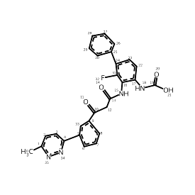 Cc1ccc(-c2cccc(C(=O)CC(=O)Nc3c(NC(=O)O)ccc(-c4ccccc4)c3F)c2)nn1